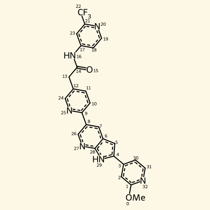 COc1cc(-c2cc3cc(-c4ccc(CC(=O)Nc5ccnc(C(F)(F)F)c5)cn4)cnc3[nH]2)ccn1